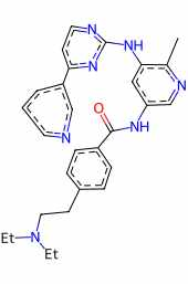 CCN(CC)CCc1ccc(C(=O)Nc2cnc(C)c(Nc3nccc(-c4cccnc4)n3)c2)cc1